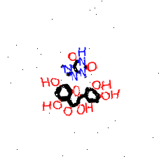 Cn1cnc2c1c(=O)[nH]c(=O)n2C.O=c1c(O)c(-c2ccc(O)c(O)c2)oc2cc(O)cc(O)c12